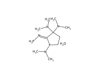 CN(C)P1CCC(N(C)C)(N(C)C)/C1=N/P.O